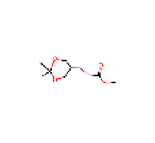 COC(=O)OCC1COC(C)(C)OC1